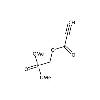 C#CC(=O)OCP(=O)(OC)OC